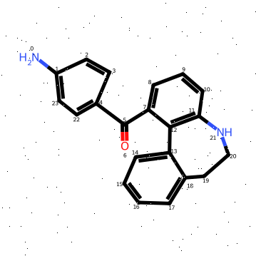 Nc1ccc(C(=O)c2cccc3c2-c2ccccc2CCN3)cc1